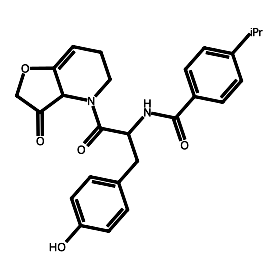 CC(C)c1ccc(C(=O)NC(Cc2ccc(O)cc2)C(=O)N2CCC=C3OCC(=O)C32)cc1